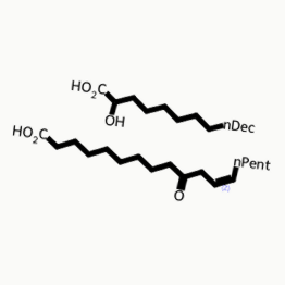 CCCCC/C=C\CC(=O)CCCCCCCCC(=O)O.CCCCCCCCCCCCCCCCC(O)C(=O)O